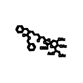 COC(=O)[C@@]1(OCCC(=O)CCCN(Cc2ccccc2)C(=O)OCc2ccccc2)C[C@@H](OC(C)=O)[C@@H](OC(C)=O)C([C@@H](COC(C)=O)OC(C)=O)O1